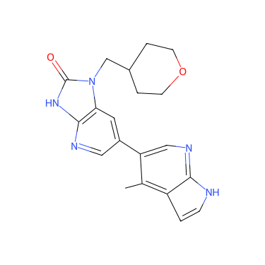 Cc1c(-c2cnc3[nH]c(=O)n(CC4CCOCC4)c3c2)cnc2[nH]ccc12